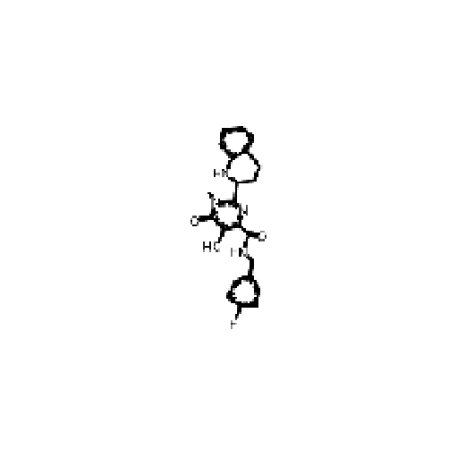 Cn1c(C2CCc3ccccc3N2)nc(C(=O)NCc2ccc(F)cc2)c(O)c1=O